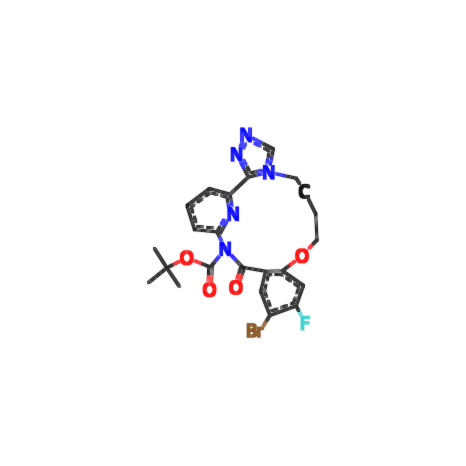 CC(C)(C)OC(=O)N1C(=O)c2cc(Br)c(F)cc2OCCCCn2cnnc2-c2cccc1n2